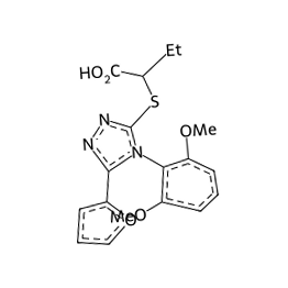 CCC(Sc1nnc(-c2ccco2)n1-c1c(OC)cccc1OC)C(=O)O